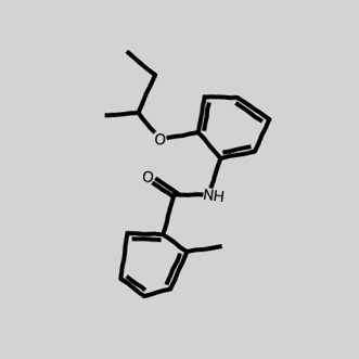 CCC(C)Oc1ccccc1NC(=O)c1ccccc1C